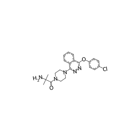 CC(C)(N)C(=O)N1CCN(c2nnc(Oc3ccc(Cl)cc3)c3ccccc23)CC1